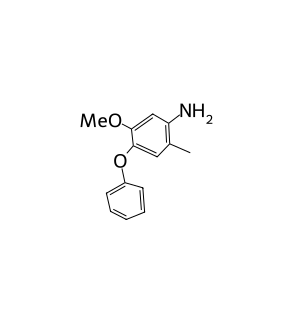 COc1cc(N)c(C)cc1Oc1ccccc1